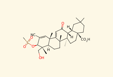 CC1(C)CC[C@]2(C(=O)O)CC[C@]3(C)[C@H](C(=O)C=C4[C@@]5(C)C=C(C#N)[C@H](OS(C)(=O)=O)[C@@](C)(CO)[C@@H]5CC[C@]43C)[C@@H]2C1